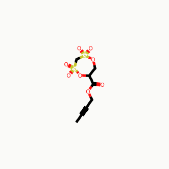 CC#CCOC(=O)C1COS(=O)(=O)CS(=O)(=O)O1